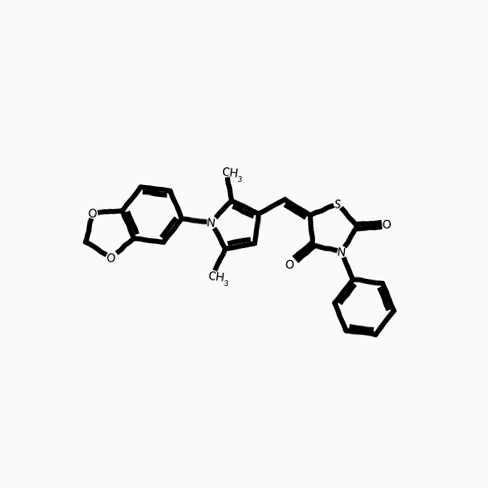 Cc1cc(C=C2SC(=O)N(c3ccccc3)C2=O)c(C)n1-c1ccc2c(c1)OCO2